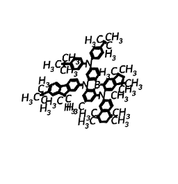 Cc1cc2c3c(c1)N(c1cc4c(cc1C)C(C)(C)CCC4(C)C)c1cc4c(cc1B3c1ccc(N(c3ccc(C(C)(C)C)cc3)c3ccc(C(C)(C)C)cc3)cc1N2c1ccc2c(c1)C(C)(C)c1cc(C(C)(C)C)ccc1-2)C(C)(C)CC4(C)C